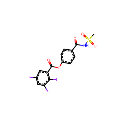 CS(=O)(=O)NC(=O)c1ccc(OC(=O)c2cc(I)cc(I)c2I)cc1